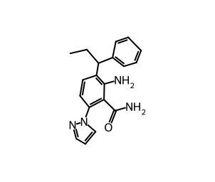 CCC(c1ccccc1)c1ccc(-n2cccn2)c(C(N)=O)c1N